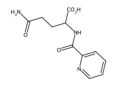 NC(=O)CCC(NC(=O)c1ccccn1)C(=O)O